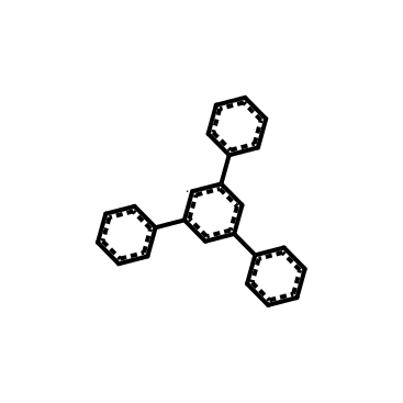 [c]1c(-c2ccccc2)cc(-c2ccccc2)cc1-c1ccccc1